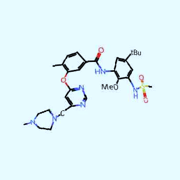 COc1c(NC(=O)c2ccc(C)c(Oc3cc(CN4CCN(C)CC4)ncn3)c2)cc(C(C)(C)C)cc1NS(C)(=O)=O